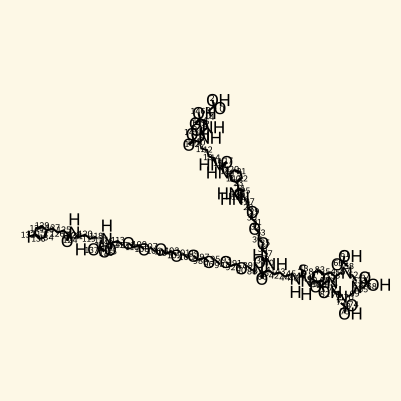 O=C(O)CC[C@H](NC(=O)N[C@@H](CCCCNC(=O)Nc1cccc(C2=CN(CCOCCOCCOCCC(=O)NC(CCCCNC(=S)Nc3ccc(CC4CN(CC(=O)O)CCN(CC(=O)O)CCN(CC(=O)O)CCN4CC(=O)O)cc3)C(=O)NCCOCCOCCOCCOCCOCCOCCOCCOCCC(=O)N[C@@H](CCCCNC(=O)CCCc3ccc(I)cc3)C(=O)O)NN2)c1)C(=O)O)C(=O)O